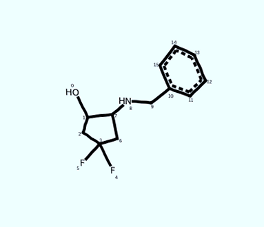 OC1CC(F)(F)CC1NCc1ccccc1